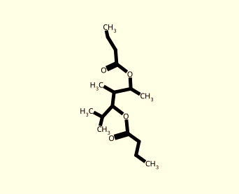 CCCC(=O)OC(C)C(C)C(OC(=O)CCC)C(C)C